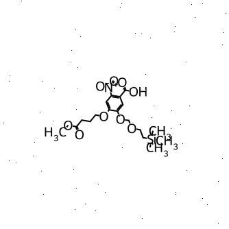 COC(=O)CCCOc1cc([N+](=O)[O-])c(C(=O)O)cc1OCOCC[Si](C)(C)C